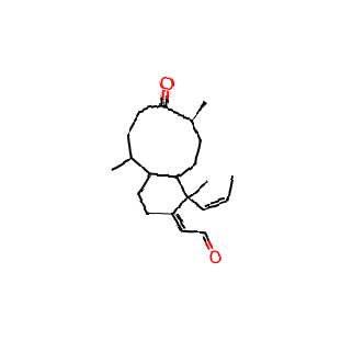 C/C=C\C1(C)/C(=C\C=O)CCC2C(C)CCC(=O)[C@@H](C)CCC21